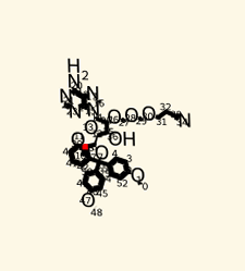 COc1ccc(C(OC(C(C)=O)[C@H]2O[C@@H](n3cnc4c(N)ncnc43)[C@H](OCOCOCCC#N)[C@@H]2O)(c2ccccc2)c2ccc(OC)cc2)cc1